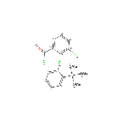 COC(OC)(OC)c1ccccc1.O=C(Cl)c1cccc(Cl)c1Cl